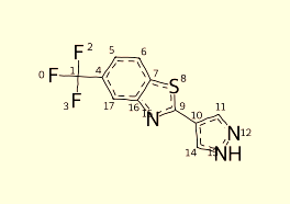 FC(F)(F)c1ccc2sc(-c3cn[nH]c3)nc2c1